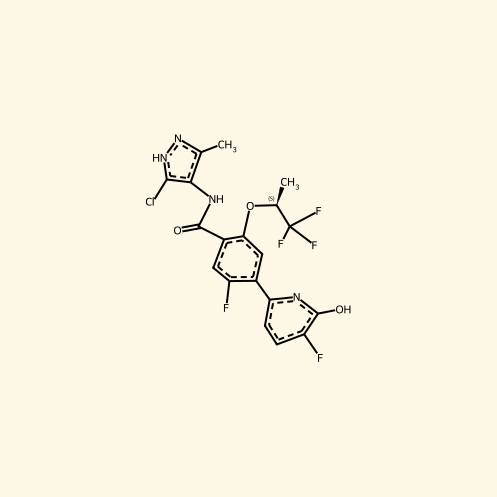 Cc1n[nH]c(Cl)c1NC(=O)c1cc(F)c(-c2ccc(F)c(O)n2)cc1O[C@@H](C)C(F)(F)F